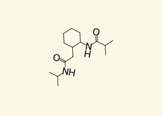 CC(C)NC(=O)CC1CCCCC1NC(=O)C(C)C